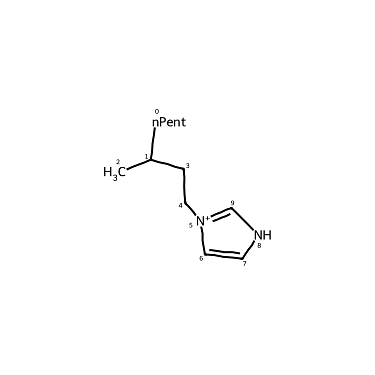 CCCCCC(C)CC[n+]1cc[nH]c1